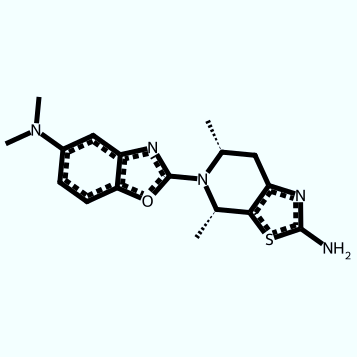 C[C@@H]1Cc2nc(N)sc2[C@H](C)N1c1nc2cc(N(C)C)ccc2o1